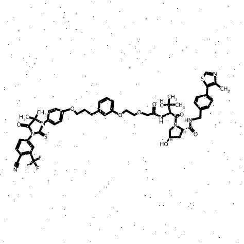 Cc1ncsc1-c1ccc(CNC(=O)[C@@H]2C[C@@H](O)CN2C(=O)C(NC(=O)COCCOc2cccc(CCCOc3ccc(N4C(=S)N(c5ccc(C#N)c(C(F)(F)F)c5)C(=O)C4(C)C)cc3)c2)C(C)(C)C)cc1